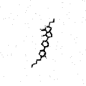 CCCCCc1ccc(-c2ccc(-c3ccc4cc(CCC)oc(=O)c4c3F)cc2)cc1F